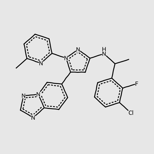 Cc1cccc(-n2nc(NC(C)c3cccc(Cl)c3F)cc2-c2ccc3ncnn3c2)n1